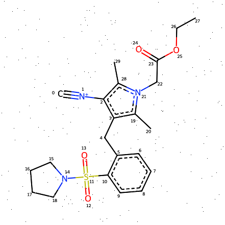 [C-]#[N+]c1c(Cc2ccccc2S(=O)(=O)N2CCCC2)c(C)n(CC(=O)OCC)c1C